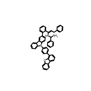 NC(N/C(=C\Cc1ccccc1)c1ccccc1-c1ccc2c(c1)c1ccccc1n2-c1ccc(-c2cccc3c2oc2ccccc23)cc1)c1ccccc1